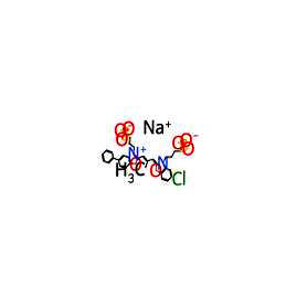 CCC(/C=C1\Oc2ccc(Cl)cc2N1CCCCS(=O)(=O)[O-])=C\c1oc2ccc(-c3ccccc3)cc2[n+]1CCCS(=O)(=O)[O-].[Na+]